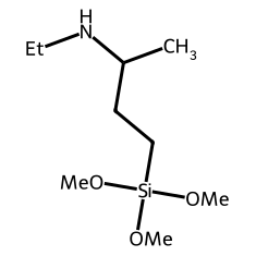 CCNC(C)CC[Si](OC)(OC)OC